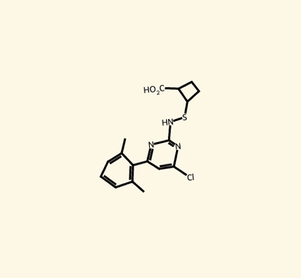 Cc1cccc(C)c1-c1cc(Cl)nc(NSC2CCC2C(=O)O)n1